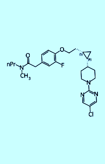 CCCN(C)C(=O)Cc1ccc(OCC[C@@H]2C[C@@H]2C2CCN(c3ncc(Cl)cn3)CC2)c(F)c1